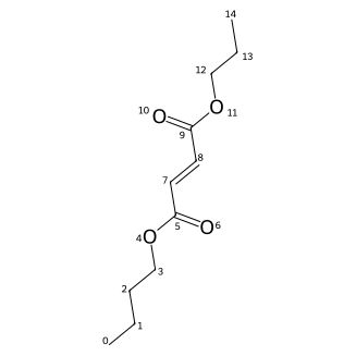 CCCCOC(=O)/C=C/C(=O)OCCC